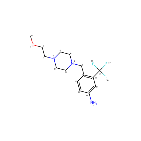 COCCN1CCN(Cc2ccc(N)cc2C(F)(F)F)CC1